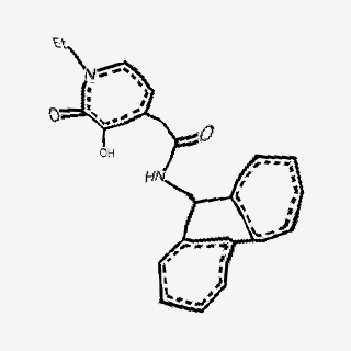 CCn1ccc(C(=O)NC2c3ccccc3-c3ccccc32)c(O)c1=O